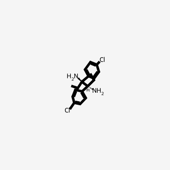 CC[C@@](N)(c1ccc(Cl)cc1)[C@](N)(CC)c1ccc(Cl)cc1